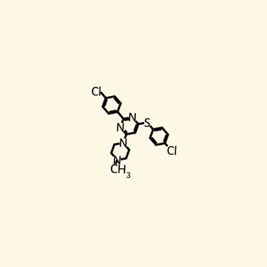 CN1CCN(c2cc(Sc3ccc(Cl)cc3)nc(-c3ccc(Cl)cc3)n2)CC1